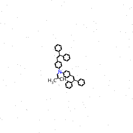 CC(C)=CN(c1ccc(C=C(c2ccccc2)c2ccccc2)cc1)c1ccc(C=C(c2ccccc2)c2ccccc2)cc1